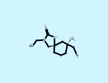 CC(C)(C)CN1C[C@@]2(CCC[C@](C)(CBr)C2)OC1=O